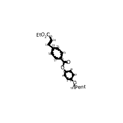 CCCCCOc1ccc(OC(=O)c2ccc(/C=C/C(=O)OCC)cc2)cc1